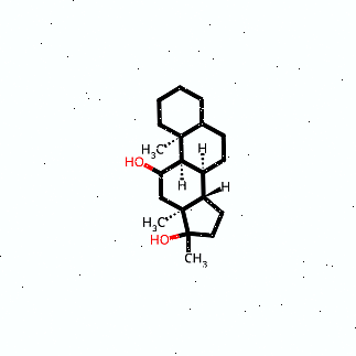 CC1(O)CC[C@H]2[C@@H]3CCC4CCCC[C@]4(C)[C@@H]3C(O)C[C@@]21C